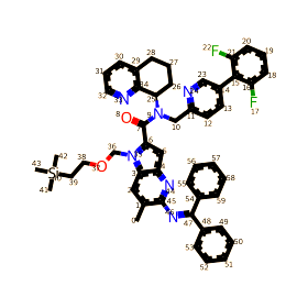 Cc1cc2c(cc(C(=O)N(Cc3ccc(-c4c(F)cccc4F)cn3)[C@@H]3CCCc4cccnc43)n2COCC[Si](C)(C)C)nc1N=C(c1ccccc1)c1ccccc1